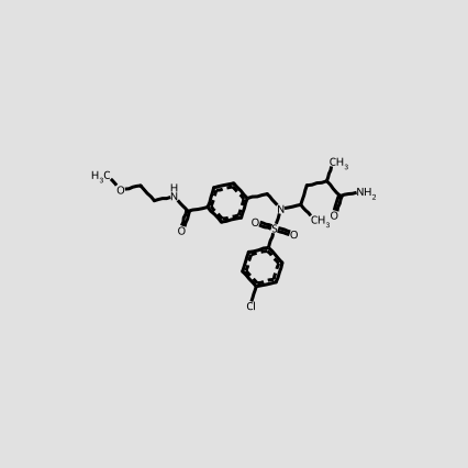 COCCNC(=O)c1ccc(CN(C(C)CC(C)C(N)=O)S(=O)(=O)c2ccc(Cl)cc2)cc1